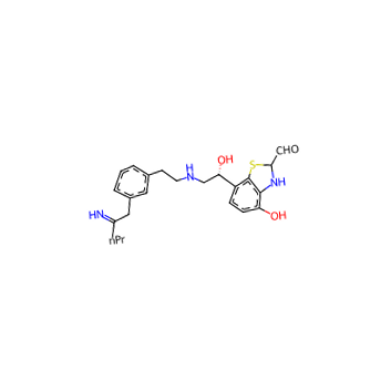 CCCC(=N)Cc1cccc(CCNC[C@H](O)c2ccc(O)c3c2SC(C=O)N3)c1